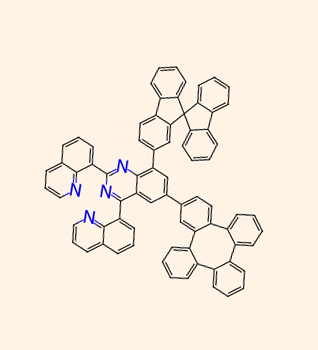 c1ccc2c(c1)-c1ccccc1-c1ccc(-c3cc(-c4ccc5c(c4)C4(c6ccccc6-c6ccccc64)c4ccccc4-5)c4nc(-c5cccc6cccnc56)nc(-c5cccc6cccnc56)c4c3)cc1-c1ccccc1-2